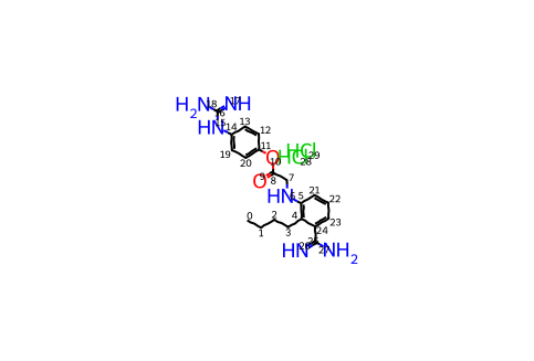 CCCCc1c(NCC(=O)Oc2ccc(NC(=N)N)cc2)cccc1C(=N)N.Cl.Cl